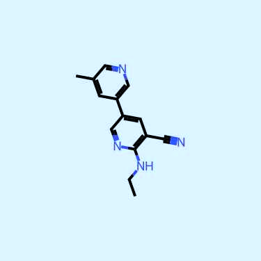 CCNc1ncc(-c2cncc(C)c2)cc1C#N